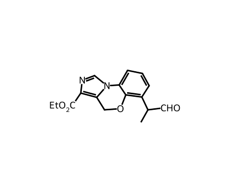 CCOC(=O)c1ncn2c1COc1c(C(C)C=O)cccc1-2